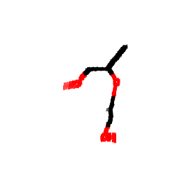 CC(CO)O[CH]CO